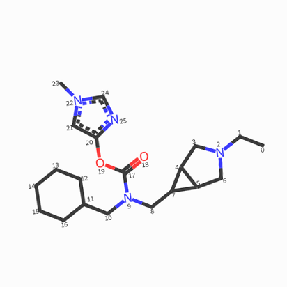 CCN1CC2C(C1)C2CN(CC1CCCCC1)C(=O)Oc1cn(C)cn1